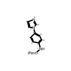 CCCC(C)Nc1ccc(-n2ccnc2)cc1